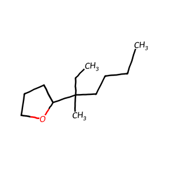 CCCCC(C)(CC)C1CCCO1